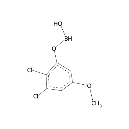 COc1cc(Cl)c(Cl)c(OBO)c1